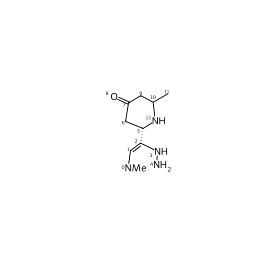 CN/C=C(\NN)[C@@H]1CC(=O)CC(C)N1